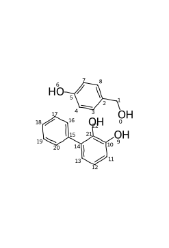 OCc1ccc(O)cc1.Oc1cccc(-c2ccccc2)c1O